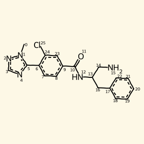 Cn1ncnc1-c1ccc(C(=O)NC(CN)Cc2ccccc2)cc1Cl